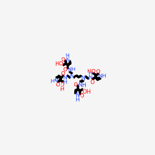 O=C(NCCN(CCCCN(CCNC(=O)c1cc[nH]c(=O)c1CO)CCNC(=O)c1cc[nH]c(=O)c1CO)CCNC(=O)c1cc[nH]c(=O)c1CO)c1cc[nH]c(=O)c1CO